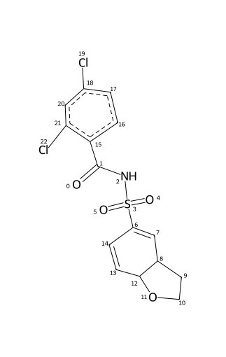 O=C(NS(=O)(=O)C1=CC2CCOC2C=C1)c1ccc(Cl)cc1Cl